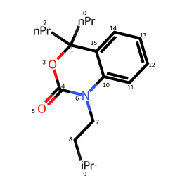 CCCC1(CCC)OC(=O)N(CC[C](C)C)c2ccccc21